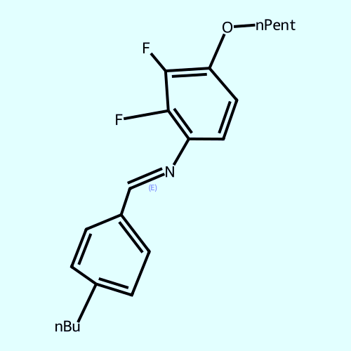 CCCCCOc1ccc(/N=C/c2ccc(CCCC)cc2)c(F)c1F